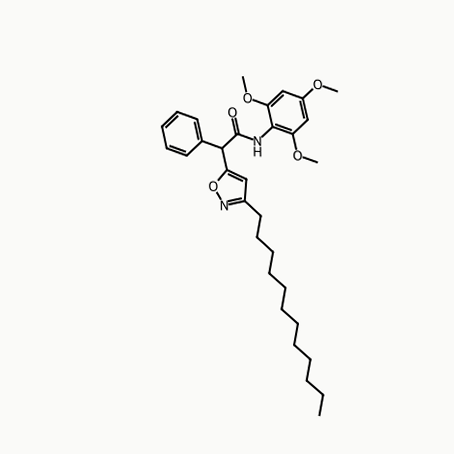 CCCCCCCCCCCCc1cc(C(C(=O)Nc2c(OC)cc(OC)cc2OC)c2ccccc2)on1